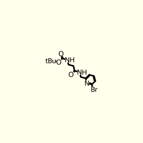 CC(C)(C)OC(=O)NCCC(=O)NCc1cccc(Br)n1